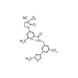 Cc1cc(N2CC[C@@](C#N)(C3CC3)C2=O)cc(C(=O)NCc2cc(-c3cnn(C)c3)cc(C(F)(F)F)c2)n1